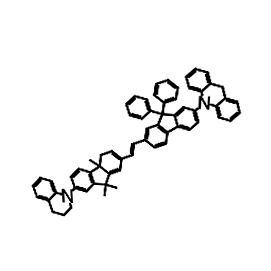 CC1(C)C2=CC(/C=C/c3ccc4c(c3)C(c3ccccc3)(c3ccccc3)c3cc(N5c6ccccc6Cc6ccccc65)ccc3-4)=CCC2(C)c2ccc(N3CCCc4ccccc43)cc21